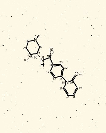 C[C@@H]1CCN(C)C[C@@H]1NC(=O)c1ccc(-n2ccccc2=O)cc1